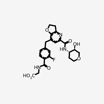 O=C(O)CNC(=O)c1ccc(Cc2cc(C(=O)N[C@H]3CCOC[C@@H]3O)nc3c2OCC3)cc1F